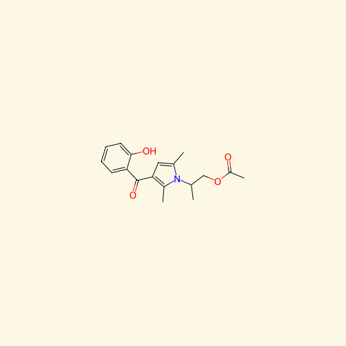 CC(=O)OCC(C)n1c(C)cc(C(=O)c2ccccc2O)c1C